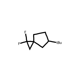 CC(C)(C)C1CCC2(C1)CC2(F)F